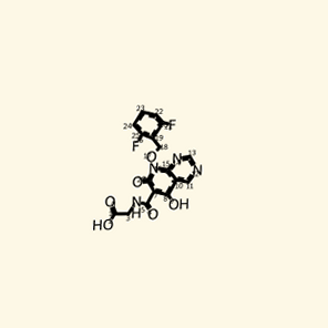 O=C(O)CNC(=O)c1c(O)c2cncnc2n(OCc2c(F)cccc2F)c1=O